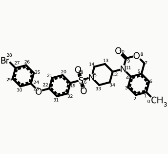 Cc1ccc2c(c1)COC(=O)N2C1CCN(S(=O)(=O)c2ccc(Oc3ccc(Br)cc3)cc2)CC1